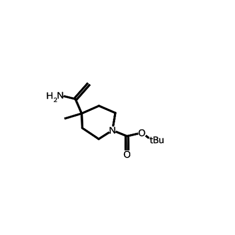 C=C(N)C1(C)CCN(C(=O)OC(C)(C)C)CC1